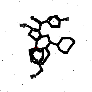 CC(C)Oc1ccc(-c2sc(N)c(C(=O)c3ccc(Cl)cc3)c2CN(C2CCCCC2)C2CCCCC2)cc1